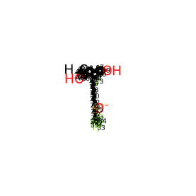 C[C@]12CCC3c4ccc(O)cc4[C@H](F)[C@@H](CCCCCCCCC[S+]([O-])CCCC(F)(F)C(F)(F)F)C3C1C[C@@H](O)C21CC1